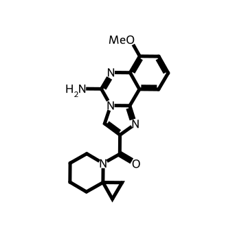 COc1cccc2c1nc(N)n1cc(C(=O)N3CCCCC34CC4)nc21